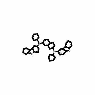 c1ccc(N(c2ccc3ccc(N(c4ccccc4)c4ccc5oc6ccccc6c5c4)cc3c2)c2ccc3oc4ccccc4c3c2)cc1